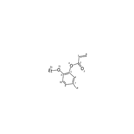 C=CC(=O)Oc1cc(C)ccc1OCC